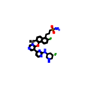 Cc1ccc2c(CCCS(N)(=O)=O)c(F)ccc2c1Oc1ncncc1-c1ccnc(N[C@@H]2CNC[C@@H](F)C2)n1